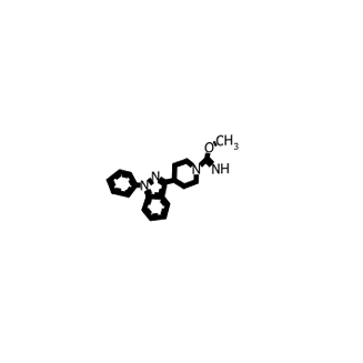 COC(=N)N1CCC(c2nn(-c3ccccc3)c3ccccc23)CC1